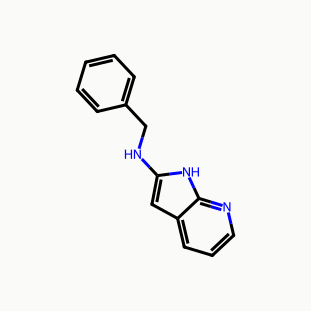 c1ccc(CNc2cc3cccnc3[nH]2)cc1